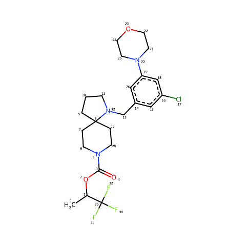 CC(OC(=O)N1CCC2(CCCN2Cc2cc(Cl)cc(N3CCOCC3)c2)CC1)C(F)(F)F